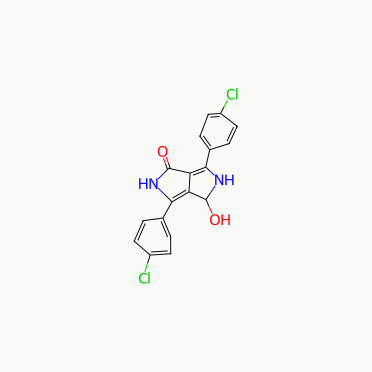 O=C1NC(c2ccc(Cl)cc2)=C2C1=C(c1ccc(Cl)cc1)NC2O